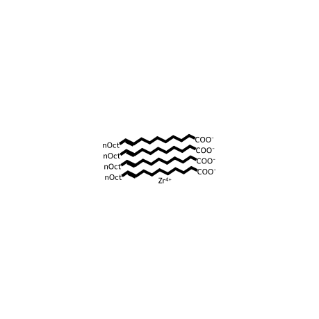 CCCCCCCCC=CCCCCCCCC(=O)[O-].CCCCCCCCC=CCCCCCCCC(=O)[O-].CCCCCCCCC=CCCCCCCCC(=O)[O-].CCCCCCCCC=CCCCCCCCC(=O)[O-].[Zr+4]